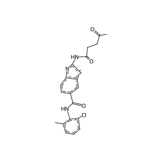 CC(=O)CCC(=O)Nc1nc2ccc(C(=O)Nc3c(C)cccc3Cl)cc2s1